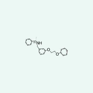 C[C@H](NCc1cccc(OCCOc2ccccc2)c1)c1ccccc1